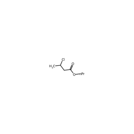 CCCOC(=O)CC(C)Cl